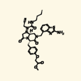 C#CCN(C(=O)NCCCC)N1CC(=O)N2[C@@H](Cc3ccc(OCC(=O)OC)cc3)C(=O)N(Cc3cccc4sc(N)nc34)C[C@@H]21